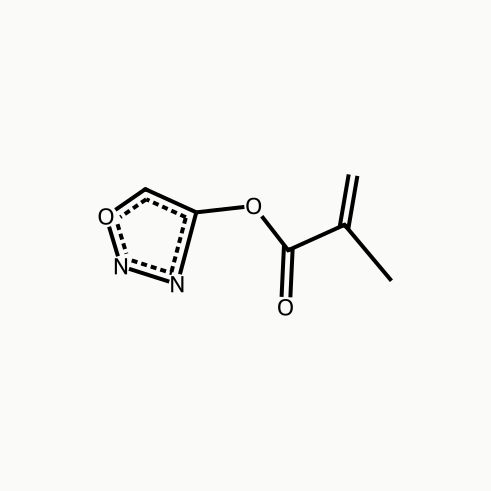 C=C(C)C(=O)Oc1conn1